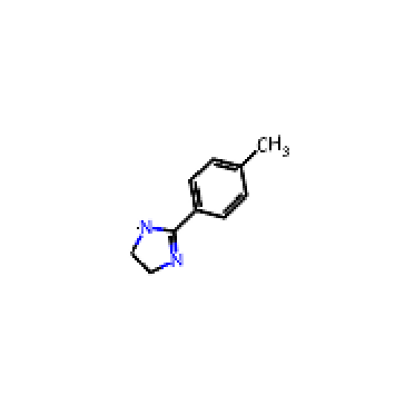 Cc1ccc(C2=NCC[N]2)cc1